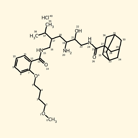 COCCCCOc1ccccc1C(=O)NCC(CC(N)C(O)CNC(=O)C12CC3CC(CC(C3)C1)C2)C(C)C.Cl